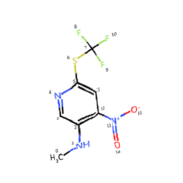 CNc1cnc(SC(F)(F)F)cc1[N+](=O)[O-]